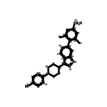 CCc1cnc(N2CCC(n3nnc4cc(-c5c(C)cc(C(=O)O)cc5C)ncc43)CC2)nc1